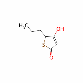 CCCC1SC(=O)C=C1O